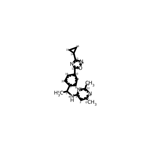 Cc1cc(NC(C)c2ccc(-c3nc(C4CC4)no3)cc2)nc(C)n1